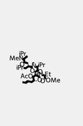 C/C=C/C[C@@H](C)[C@@H](OC(C)=O)[C@H](CC(=O)[C@H](C(C)C)N(C)C(=O)[C@@H](CC(=O)[C@H](CC(C)C)NC)CC(C)C)C(=O)N[C@@H](CC)C(=O)OC